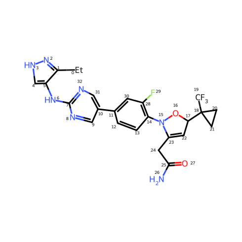 CCc1n[nH]cc1Nc1ncc(-c2ccc(N3OC(C4(C(F)(F)F)CC4)C=C3CC(N)=O)c(F)c2)cn1